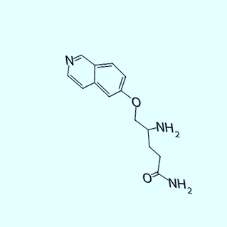 NC(=O)CCC(N)COc1ccc2cnccc2c1